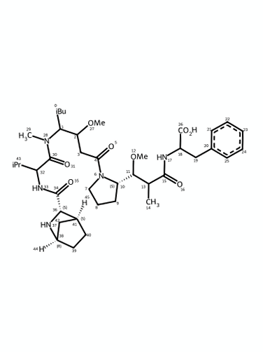 CCC(C)C(C(CC(=O)N1CCC[C@H]1C(OC)C(C)C(=O)NC(Cc1ccccc1)C(=O)O)OC)N(C)C(=O)C(NC(=O)[C@H]1N[C@@H]2CC[C@H]1C2)C(C)C